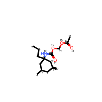 C=C1CC(C)CC(CCC)(NC(=O)OCOC(C)=O)C1